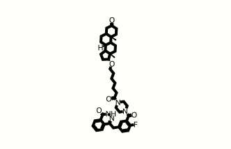 C[C@]12CCC(=O)CC1CC[C@@H]1C2CC[C@@]2(C)C1CC[C@@H]2OCCCCCCC(=O)N1CCN(C(=O)c2cc(Cc3n[nH]c(=O)c4ccccc34)ccc2F)CC1